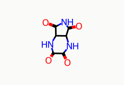 O=C1NC2C(=O)NC(=O)C2NC1=O